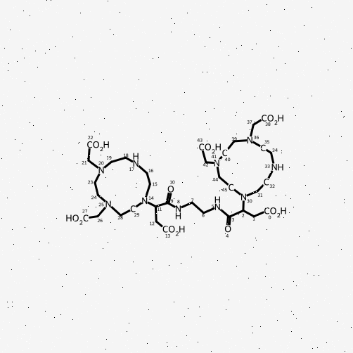 O=C(O)CC(C(=O)NCCNC(=O)C(CC(=O)O)N1CCNCCN(CC(=O)O)CCN(CC(=O)O)CC1)N1CCNCCN(CC(=O)O)CCN(CC(=O)O)CC1